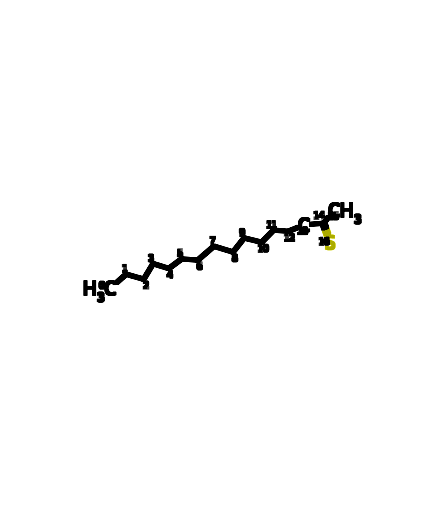 CCCCCCCCCCCCCCC(C)=S